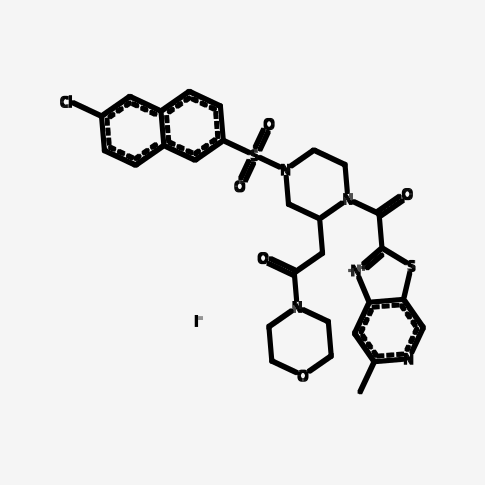 Cc1cc2c(cn1)SC(C(=O)N1CCN(S(=O)(=O)c3ccc4cc(Cl)ccc4c3)CC1CC(=O)N1CCOCC1)=[N+]2.[I-]